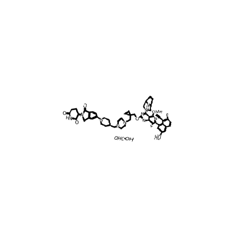 C#Cc1c(F)ccc2cc(O)cc(-c3nc(OC)c4c(N5CC6CCC(C5)N6)nc(OCC5(CN6CCN(CC7CCN(c8ccc9c(c8)CN(C8CCC(=O)NC8=O)C9=O)CC7)CC6)CC5)nc4c3F)c12.O=CO